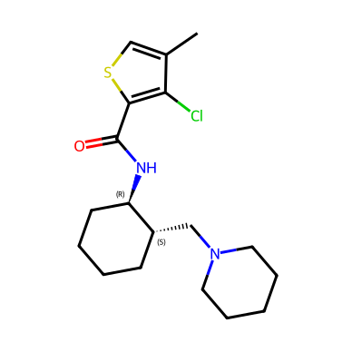 Cc1csc(C(=O)N[C@@H]2CCCC[C@H]2CN2CCCCC2)c1Cl